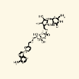 CNc1c(NC2OC(COP(=O)(O)OP(=O)(O)OP(O)OOCC3CC[C@H](n4cnc5c(N)ncnc54)O3)C(O)C2O)nc(N)[nH]c1=O